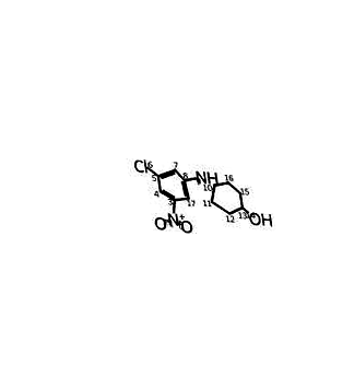 O=[N+]([O-])c1cc(Cl)cc(NC2CCC(O)CC2)c1